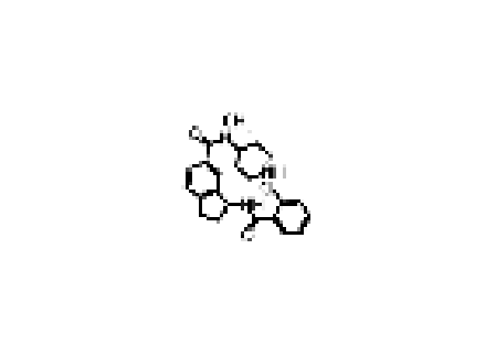 CN(C(=O)c1ccc2c(c1)C(NC(=O)c1ccccc1Cl)CC2)C1CCNCC1